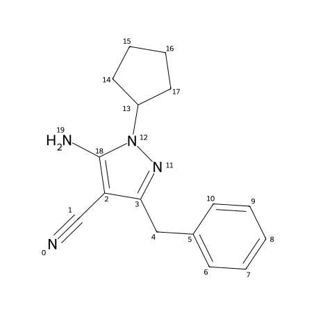 N#Cc1c(Cc2ccccc2)nn(C2CCCC2)c1N